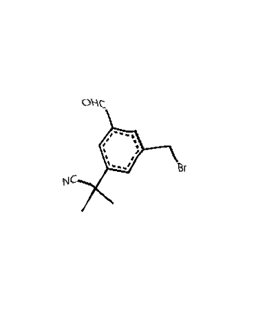 CC(C)(C#N)c1cc(C=O)cc(CBr)c1